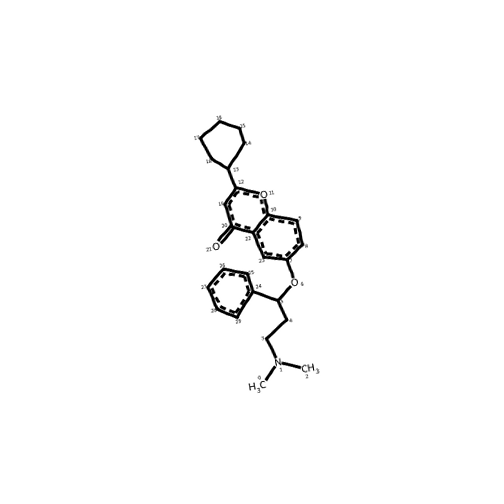 CN(C)CCC(Oc1ccc2oc(C3CCCCC3)cc(=O)c2c1)c1ccccc1